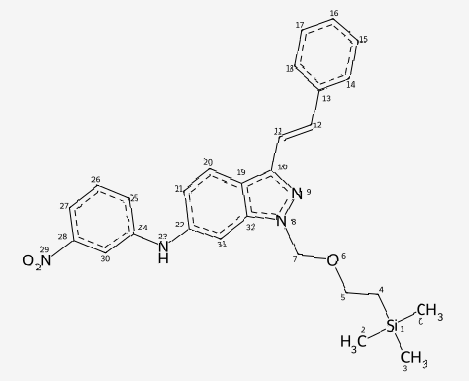 C[Si](C)(C)CCOCn1nc(/C=C/c2ccccc2)c2ccc(Nc3cccc([N+](=O)[O-])c3)cc21